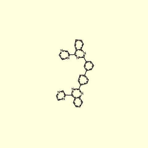 c1cc(-c2ccc(-c3nc(-c4cnccn4)c4ccccc4n3)cc2)cc(-c2nc(-c3cnccn3)c3ccccc3n2)c1